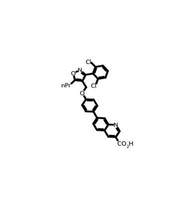 CCCc1onc(-c2c(Cl)cccc2Cl)c1COc1ccc(-c2ccc3cc(C(=O)O)cnc3c2)cc1